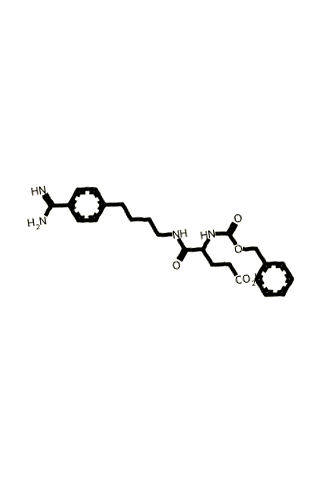 N=C(N)c1ccc(CCCCNC(=O)C(CCC(=O)O)NC(=O)OCc2ccccc2)cc1